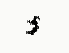 CCCOc1ccc(/C=C/C(=O)c2ccc(OCC(=O)O)cc2)cc1OC